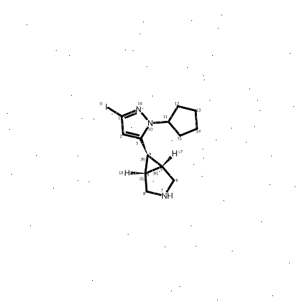 Ic1cc([C@H]2[C@@H]3CNC[C@@H]32)n(C2CCCC2)n1